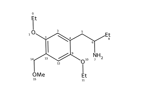 CCOc1cc(CC(N)CC)c(OCC)cc1COC